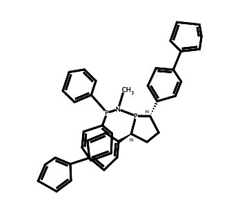 CN(P(c1ccccc1)c1ccccc1)P1[C@H](c2ccc(-c3ccccc3)cc2)CC[C@H]1c1ccc(-c2ccccc2)cc1